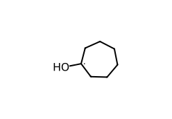 O[C]1CCCCCC1